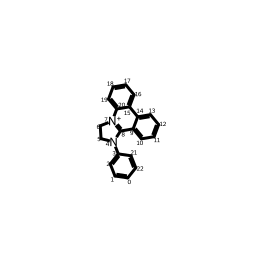 c1ccc(N2CC[n+]3c2c2ccccc2c2ccccc23)cc1